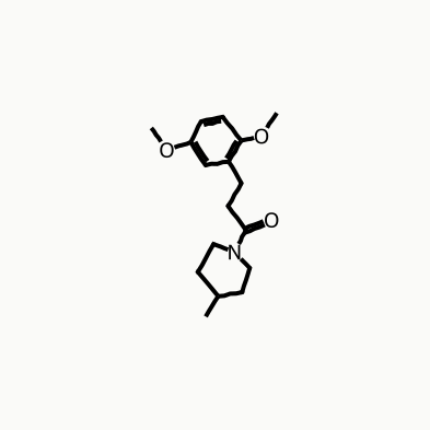 COc1ccc(OC)c(CCC(=O)N2CCC(C)CC2)c1